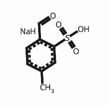 Cc1ccc(C=O)c(S(=O)(=O)O)c1.[NaH]